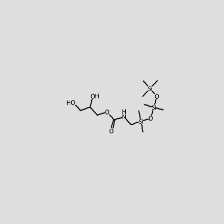 C[Si](C)(C)O[Si](C)(C)O[Si](C)(C)CNC(=O)OCC(O)CO